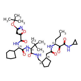 CCC[C@H](NC(=O)C[C@H]1CCC[C@H]1CNC(=O)[C@@H](NC(=O)[C@@H](NC(=O)c1cc(OC(C)(C)C)no1)C1CCCCC1)C(C)(C)C)C(=O)C(=O)NC1CC1